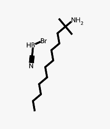 CCCCCCCCCCC(C)(C)N.N#CBBr